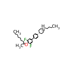 CCCCCCC[C@H](C)Oc1c(F)cc(-c2ccc([C@H]3CC[Si@H](CCCCC)CC3)cc2)cc1F